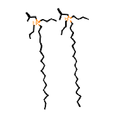 C=C(C)C[PH](CCCC)(CCCC)CCCCCCCCCCCCCCCCCC.C=C(C)C[PH](CCCC)(CCCC)CCCCCCCCCCCCCCCCCCC